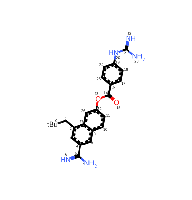 CC(C)(C)Cc1cc(C(=N)N)cc2ccc(OC(=O)c3ccc(NC(=N)N)cc3)cc12